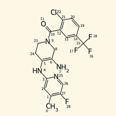 Cc1cc(NC2=C(N)CN(C(=O)c3cc(C(F)(F)F)ccc3Cl)CC2)ncc1F